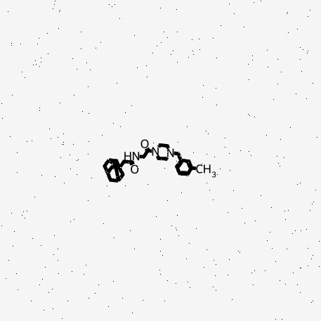 Cc1cccc(CN2CCN(C(=O)CNC(=O)CC34CC5CC(CC(C5)C3)C4)CC2)c1